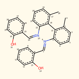 Cc1cccc(N=Cc2ccccc2O)c1-c1c(C)cccc1N=Cc1ccccc1O